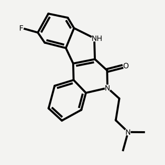 CN(C)CCn1c(=O)c2[nH]c3ccc(F)cc3c2c2ccccc21